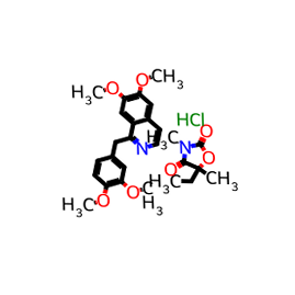 CCC1(C)OC(=O)N(C)C1=O.COc1ccc(Cc2nccc3cc(OC)c(OC)cc23)cc1OC.Cl